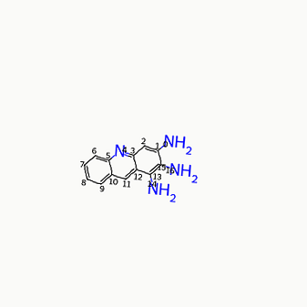 Nc1cc2nc3ccccc3cc2c(N)c1N